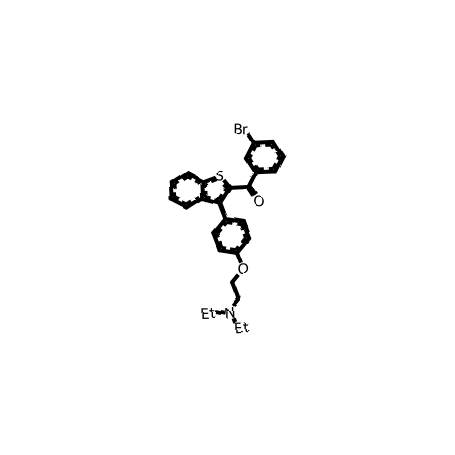 CCN(CC)CCOc1ccc(-c2c(C(=O)c3cccc(Br)c3)sc3ccccc23)cc1